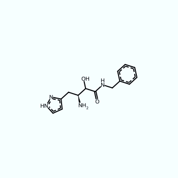 N[C@@H](Cc1cc[nH]n1)C(O)C(=O)NCc1ccccc1